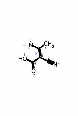 C/C(N)=C(\C#N)C(=O)O